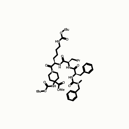 COC(=O)C1(NC(=O)OC(C)(C)C)CCN(C(=O)[C@@H](CCCCNC(=O)OC(C)(C)C)NC(=O)[C@@H](CC(C)C)NC(=O)[C@@H](Cc2ccccc2)NC(=O)N(C)Cc2ccccc2)CC1